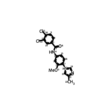 COc1cc(NC(=O)c2ccc(Cl)c(Cl)c2)ccc1-n1cnc(C)c1